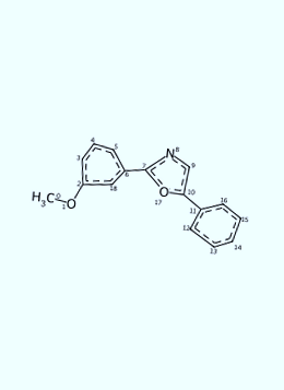 COc1cccc(-c2ncc(-c3ccccc3)o2)c1